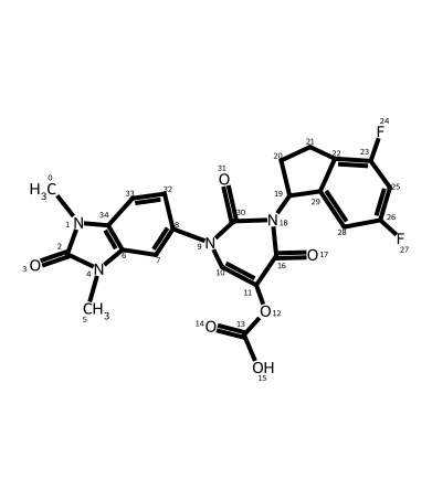 Cn1c(=O)n(C)c2cc(-n3cc(OC(=O)O)c(=O)n(C4CCc5c(F)cc(F)cc54)c3=O)ccc21